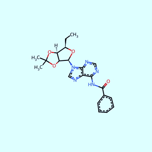 CC[C@H]1O[C@@H](n2cnc3c(NC(=O)c4ccccc4)ncnc32)C2OC(C)(C)O[C@H]21